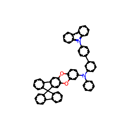 c1ccc(N(c2cccc(-c3ccc(-n4c5ccccc5c5ccccc54)cc3)c2)c2ccc3c(c2)Oc2cc4c(cc2O3)-c2ccccc2C42c3ccccc3-c3ccccc32)cc1